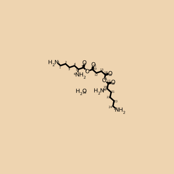 NCCCC[C@H](N)C(=O)OC(=O)CCC(=O)OC(=O)[C@@H](N)CCCCN.O